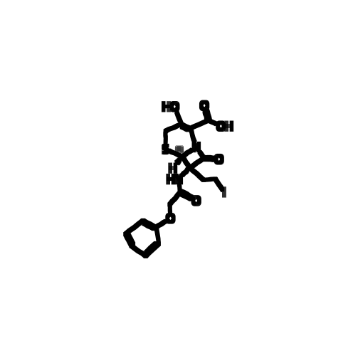 O=C(COc1ccccc1)NC1(CCI)C(=O)N2C(C(=O)O)=C(O)CS[C@H]21